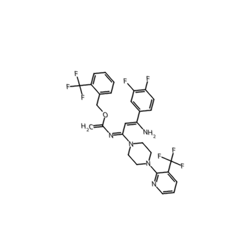 C=C(/N=C(\C=C(/N)c1ccc(F)c(F)c1)N1CCN(c2ncccc2C(F)(F)F)CC1)OCc1ccccc1C(F)(F)F